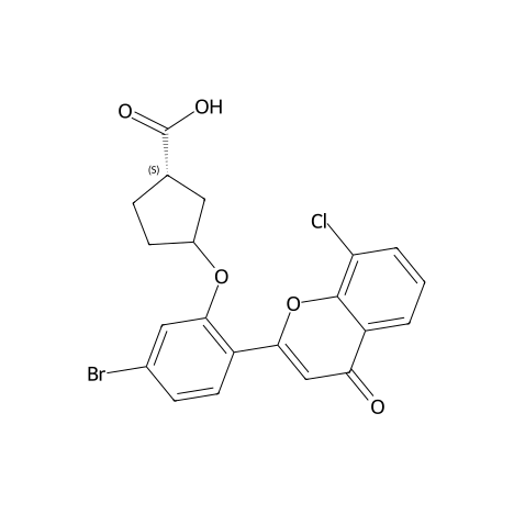 O=C(O)[C@H]1CCC(Oc2cc(Br)ccc2-c2cc(=O)c3cccc(Cl)c3o2)C1